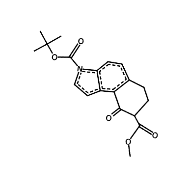 COC(=O)C1CCc2ccc3c(ccn3C(=O)OC(C)(C)C)c2C1=O